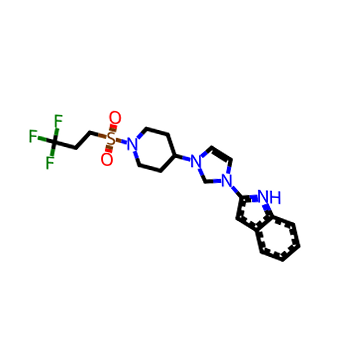 O=S(=O)(CCC(F)(F)F)N1CCC(N2C=CN(c3cc4ccccc4[nH]3)C2)CC1